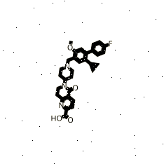 COc1cc(-c2ccc(F)cc2)c(C2CC2)cc1CN1CCC(N2CCc3nc(C(=O)O)ccc3C2=O)CC1